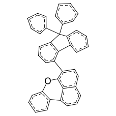 c1ccc(C2(c3ccccc3)c3ccccc3-c3c(-c4ccc5cccc6c5c4Oc4ccccc4-6)cccc32)cc1